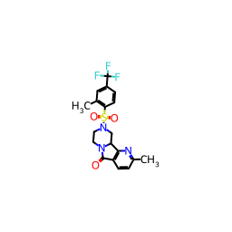 Cc1ccc2c(n1)C1CN(S(=O)(=O)c3ccc(C(F)(F)F)cc3C)CCN1C2=O